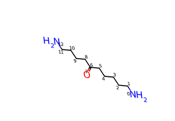 NCCCCCC(=O)CCCCN